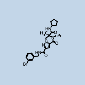 CCCN1C(=O)c2cc(C(=O)NCc3cccc(Br)c3)nn2CC1(C)C(=O)NC1CCCC1